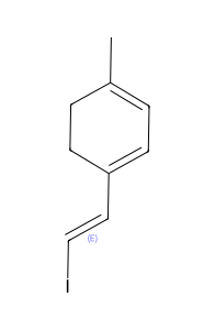 CC1=CC=C(/C=C/I)CC1